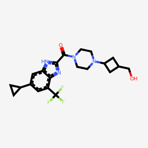 O=C(c1nc2c(C(F)(F)F)cc(C3CC3)cc2[nH]1)N1CCN(C2CC(CO)C2)CC1